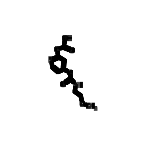 COCCNC(=O)Oc1ccnc(OC(=O)O)c1